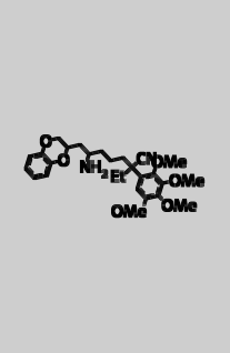 CCC(C#N)(CCCC(N)CC1COc2ccccc2O1)c1cc(OC)c(OC)c(OC)c1OC